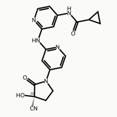 N#C[C@@]1(O)CCN(c2ccnc(Nc3cc(NC(=O)C4CC4)ccn3)c2)C1=O